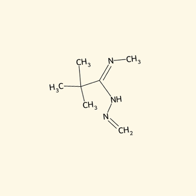 C=NN/C(=N\C)C(C)(C)C